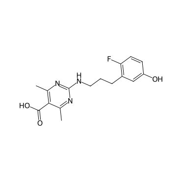 Cc1nc(NCCCc2cc(O)ccc2F)nc(C)c1C(=O)O